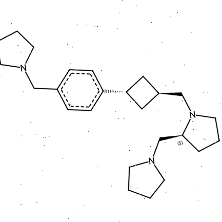 c1cc([C@H]2C[C@H](CN3CCC[C@H]3CN3CCCC3)C2)ccc1CN1CCCC1